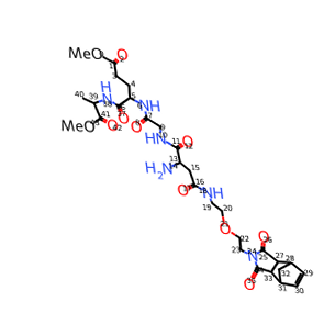 COC(=O)CCC(NC(=O)CNC(=O)C(N)CC(=O)NCCOCCN1C(=O)C2C3C=CC(C3)C2C1=O)C(=O)NC(C)C(=O)OC